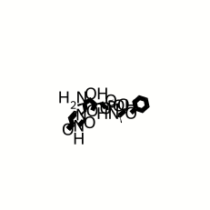 C[C@H](NP(=O)(O)OC[C@H]1O[C@@H](n2ccc(=O)[nH]c2=O)[C@](C)(N)[C@@H]1O)C(=O)OC1CCCCC1